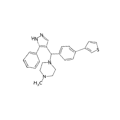 CN1CCN(C(c2ccc(-c3ccsc3)cc2)c2cn[nH]c2-c2ccccc2)CC1